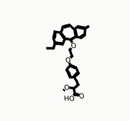 CCc1ccc2c(c1)C(OCCOc1ccc(CC(OC)C(=O)O)cc1)c1ccc(C)cc1C=C2